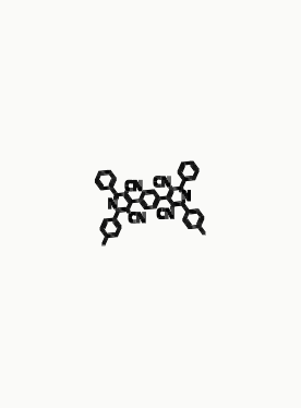 [C-]#[N+]c1c(-c2ccccc2)nc(-c2ccc(C)cc2)c([N+]#[C-])c1-c1ccc(-c2c(C#N)c(-c3ccccc3)nc(-c3ccc(C)cc3)c2C#N)cc1